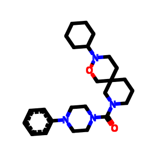 O=C(N1CCN(c2ccccc2)CC1)N1CCCC2(CCN(C3CCCCC3)OC2)C1